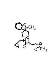 CN(C)[C@]1(c2ccccc2)CC[C@]2(CC1)CN(CCS(C)(=O)=O)C(=O)N2CC1CC1